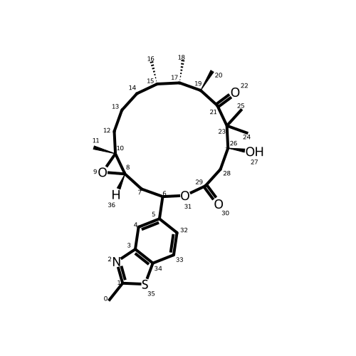 Cc1nc2cc(C3C[C@@H]4O[C@]4(C)CCC[C@H](C)[C@H](C)[C@@H](C)C(=O)C(C)(C)[C@@H](O)CC(=O)O3)ccc2s1